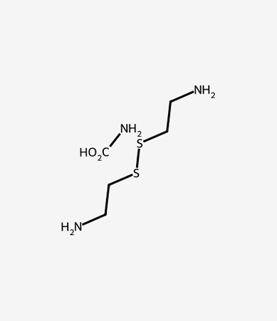 NC(=O)O.NCCSSCCN